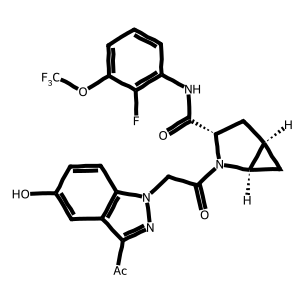 CC(=O)c1nn(CC(=O)N2[C@@H]3C[C@@H]3C[C@H]2C(=O)Nc2cccc(OC(F)(F)F)c2F)c2ccc(O)cc12